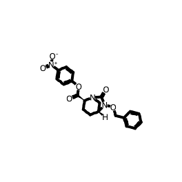 O=C(Oc1ccc([N+](=O)[O-])cc1)[C@@H]1CC[C@@H]2CN1C(=O)N2OCc1ccccc1